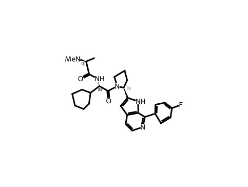 CN[C@@H](C)C(=O)N[C@H](C(=O)N1CCC[C@H]1c1cc2ccnc(-c3ccc(F)cc3)c2[nH]1)C1CCCCC1